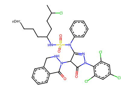 CCCCCCCCCCCCCC(CCC(C)Cl)NS(=O)(=O)N(C1=NN(c2c(Cl)cc(Cl)cc2Cl)C(=O)C1N1NCc2ccccc2C1=O)c1ccccc1